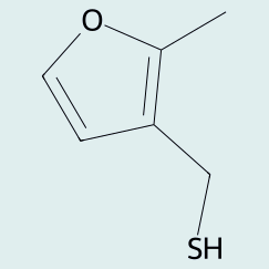 Cc1occc1CS